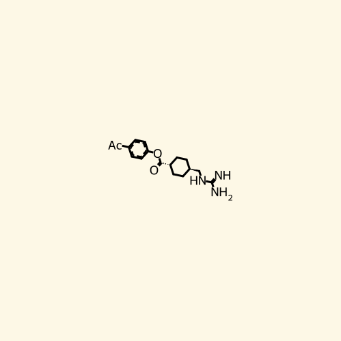 CC(=O)c1ccc(OC(=O)[C@H]2CC[C@H](CNC(=N)N)CC2)cc1